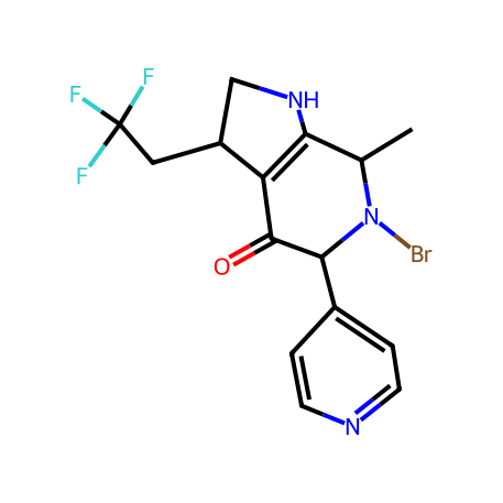 CC1C2=C(C(=O)C(c3ccncc3)N1Br)C(CC(F)(F)F)CN2